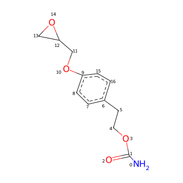 NC(=O)OCCc1ccc(OCC2CO2)cc1